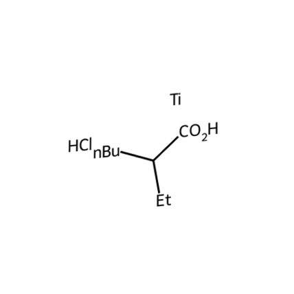 CCCCC(CC)C(=O)O.Cl.[Ti]